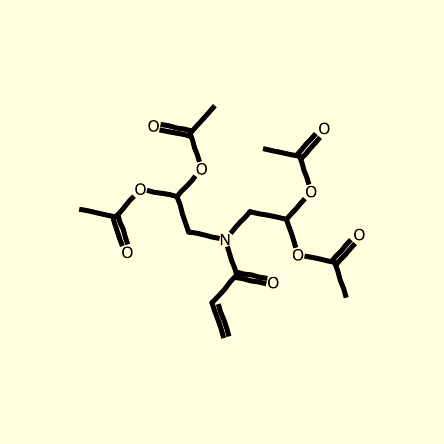 C=CC(=O)N(CC(OC(C)=O)OC(C)=O)CC(OC(C)=O)OC(C)=O